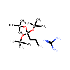 CCC[Si](O[Si](C)(C)C)(O[Si](C)(C)C)O[Si](C)(C)C.N=C(N)N